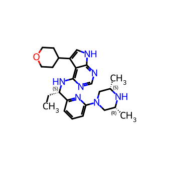 CC[C@H](Nc1ncnc2[nH]cc(C3CCOCC3)c12)c1cccc(N2C[C@@H](C)N[C@@H](C)C2)n1